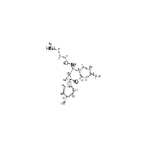 CNCCCON=C1c2ccc(F)cc2OC2(c3ccc(F)cc3)CC12